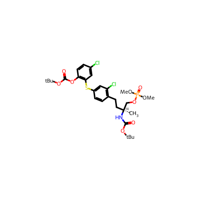 COP(=O)(OC)OC[C@](C)(CCc1ccc(Sc2cc(Cl)ccc2OC(=O)OC(C)(C)C)cc1Cl)NC(=O)OC(C)(C)C